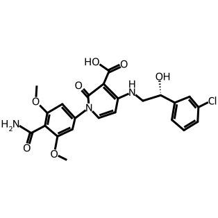 COc1cc(-n2ccc(NC[C@H](O)c3cccc(Cl)c3)c(C(=O)O)c2=O)cc(OC)c1C(N)=O